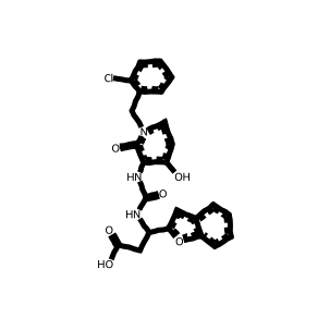 O=C(O)CC(NC(=O)Nc1c(O)ccn(Cc2ccccc2Cl)c1=O)c1cc2ccccc2o1